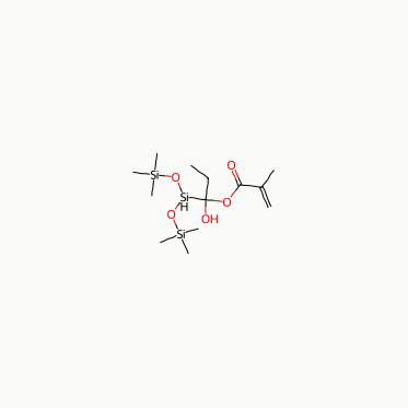 C=C(C)C(=O)OC(O)(CC)[SiH](O[Si](C)(C)C)O[Si](C)(C)C